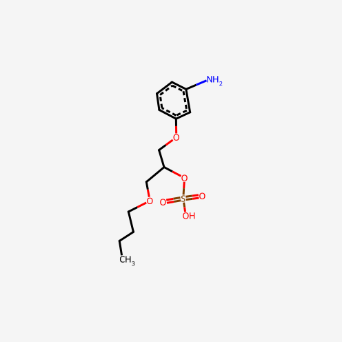 CCCCOCC(COc1cccc(N)c1)OS(=O)(=O)O